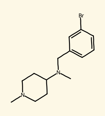 CN1CCC(N(C)Cc2cccc(Br)c2)CC1